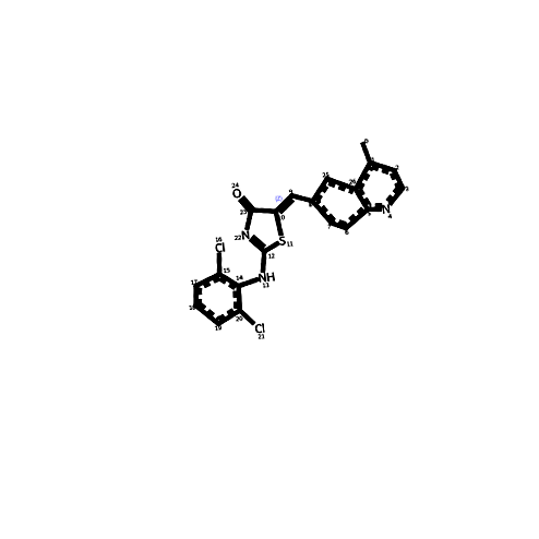 Cc1ccnc2ccc(/C=C3\SC(Nc4c(Cl)cccc4Cl)=NC3=O)cc12